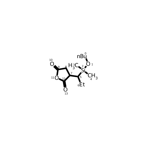 CCCCO[Si](C)(C)C(CC)C1CC(=O)OC1=O